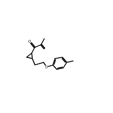 C=C(C)C(=O)C1CC1CCOc1ccc(C)cc1